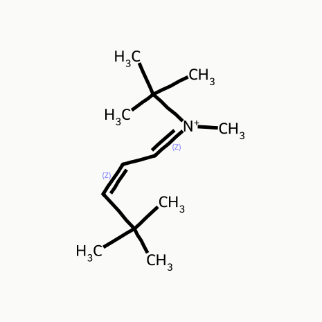 C/[N+](=C/C=C\C(C)(C)C)C(C)(C)C